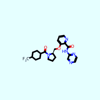 O=C(Nc1cnccn1)c1ncccc1OC[C@H]1CCCN1C(=O)C1CCC(C(F)(F)F)CC1